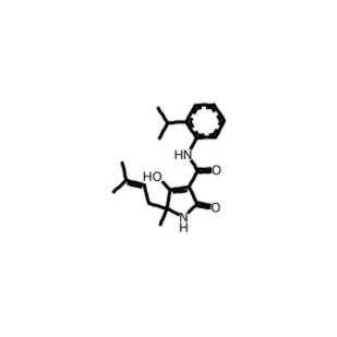 CC(C)=CCC1(C)NC(=O)C(C(=O)Nc2ccccc2C(C)C)=C1O